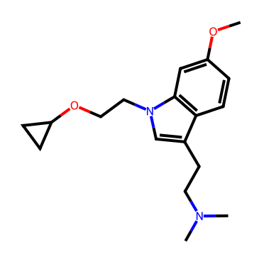 COc1ccc2c(CCN(C)C)cn(CCOC3CC3)c2c1